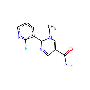 CN1C=C(C(N)=O)C=NC1c1cccnc1F